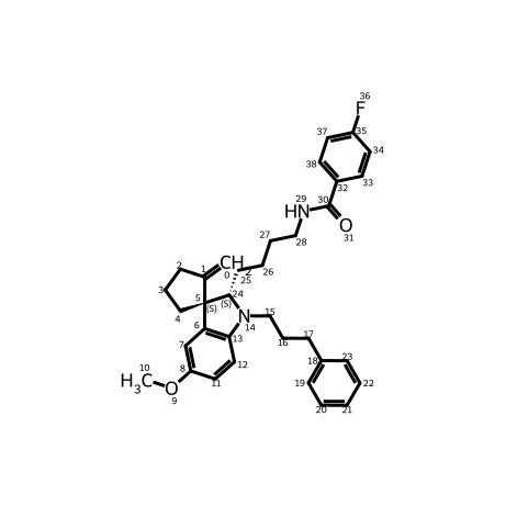 C=C1CCC[C@@]12c1cc(OC)ccc1N(CCCc1ccccc1)[C@H]2CCCCNC(=O)c1ccc(F)cc1